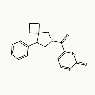 O=C(c1ccnc(=O)[nH]1)N1CC(c2ccccc2)C2(CCC2)C1